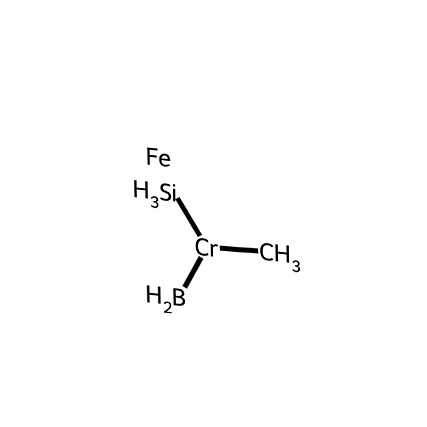 [BH2][Cr]([CH3])[SiH3].[Fe]